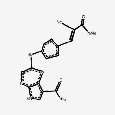 CNC(=O)/C(C#N)=C/c1ccc(Nc2cnc3[nH]cc(C(=O)C(C)(C)C)c3n2)cc1